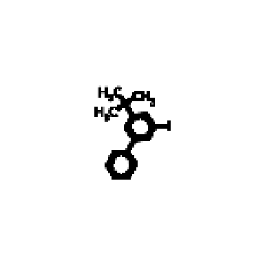 CC(C)(C)c1cc(I)cc(-c2ccccc2)c1